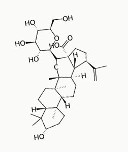 C=C(C)[C@@H]1CC[C@]2(C(=O)O)C([C@@H]3O[C@H](CO)[C@@H](O)[C@H](O)[C@H]3O)C[C@]3(C)[C@H](CC[C@@H]4[C@@]5(C)CC[C@H](O)C(C)(C)[C@@H]5CC[C@]43C)[C@@H]12